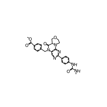 CNC(=O)Nc1ccc(-c2ncc3c(n2)N2CCOCC2C(=O)N3Cc2ccc(C(=O)OC)cc2)cc1